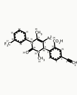 C#Cc1ccc([C@@H]2C(C(C)=O)=C(C)N(c3cccc(C(F)(F)F)c3)C(=O)N2C)c(C(=O)O)c1